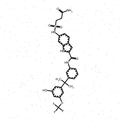 CC(C)(c1cccc(NC(=O)c2cc3ccc(NS(=O)(=O)CCC(N)=O)cc3[nH]2)c1)c1cc(O)cc(OC(F)(F)F)c1